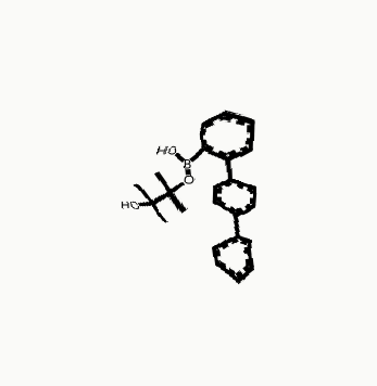 CC(C)(O)C(C)(C)OB(O)c1ccccc1-c1ccc(-c2ccccc2)cc1